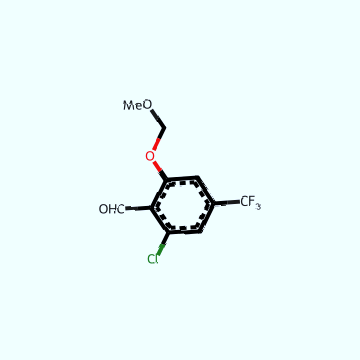 COCOc1cc(C(F)(F)F)cc(Cl)c1C=O